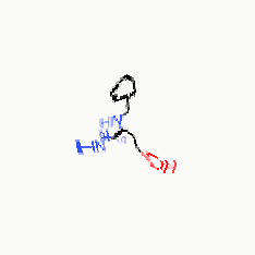 N=N/C=C(/CCO)NCc1ccccc1